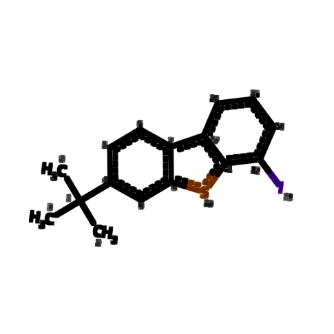 CC(C)(C)c1ccc2c(c1)sc1c(I)cccc12